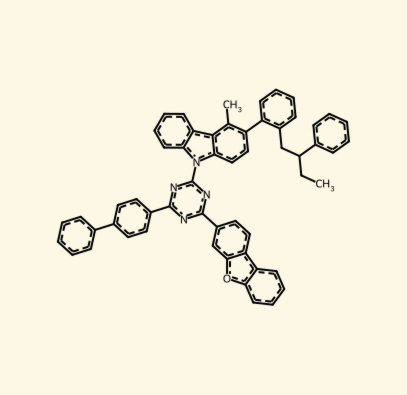 CCC(Cc1ccccc1-c1ccc2c(c1C)c1ccccc1n2-c1nc(-c2ccc(-c3ccccc3)cc2)nc(-c2ccc3c(c2)oc2ccccc23)n1)c1ccccc1